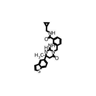 C[C@@]1(c2ccc3sccc3c2)CC(=O)N(Cc2cccc(C(=O)NCC3CC3)c2)C(=N)N1